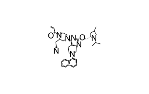 C=CC(=O)N1CCN(c2nc(OC[C@@H]3CC(C)CN3C(C)C)nc3c2CCN(c2cccc4ccccc24)C3)CC1CC#N